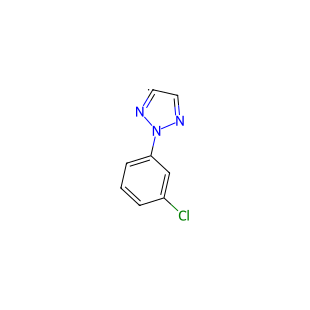 Clc1cccc(-n2n[c]cn2)c1